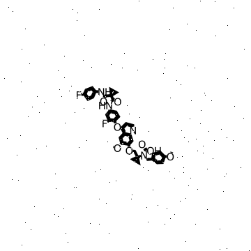 COc1ccc(CN(C(=O)O)C2(COc3cc4nccc(Oc5ccc(NC(=O)C6(C(=O)Nc7ccc(F)cc7)CC6)cc5F)c4cc3OC)CC2)cc1